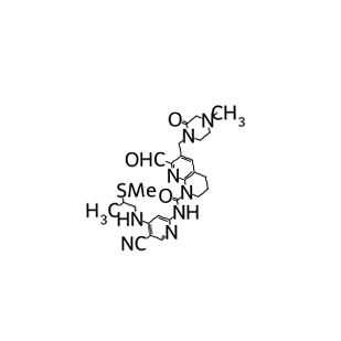 CSC(C)CNc1cc(NC(=O)N2CCCc3cc(CN4CCN(C)CC4=O)c(C=O)nc32)ncc1C#N